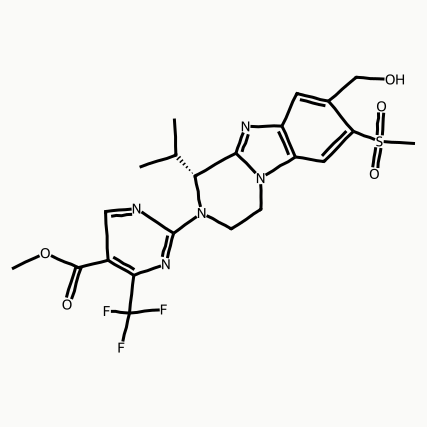 COC(=O)c1cnc(N2CCn3c(nc4cc(CO)c(S(C)(=O)=O)cc43)[C@H]2C(C)C)nc1C(F)(F)F